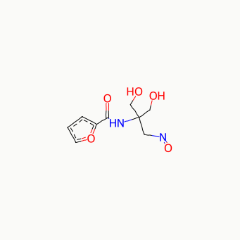 O=NCC(CO)(CO)NC(=O)c1ccco1